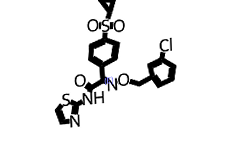 O=C(Nc1nccs1)/C(=N/OCc1cccc(Cl)c1)c1ccc(S(=O)(=O)C2CC2)cc1